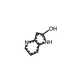 Oc1cc2ncccc2[nH]1